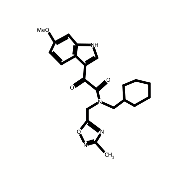 COc1ccc2c(C(=O)C(=O)N(Cc3nc(C)no3)CC3CCCCC3)c[nH]c2c1